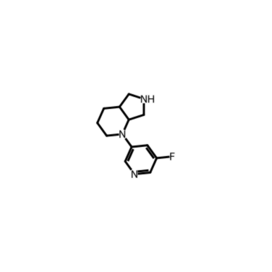 Fc1cncc(N2CCCC3CNCC32)c1